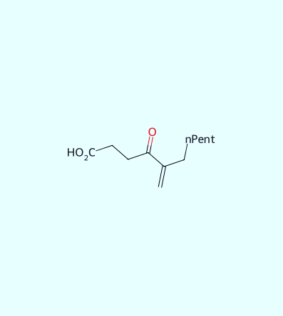 C=C(CCCCCC)C(=O)CCC(=O)O